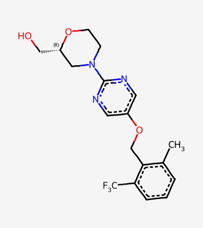 Cc1cccc(C(F)(F)F)c1COc1cnc(N2CCO[C@@H](CO)C2)nc1